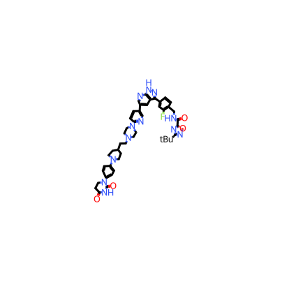 CC(C)(C)c1noc(C(=O)NCc2ccc(-c3n[nH]c4ncc(-c5ccc(N6CCN(CCC7CCN(c8ccc(N9CCC(=O)NC9=O)cc8)CC7)CC6)nc5)cc34)cc2F)n1